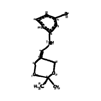 CC1(C)OCC(=CNc2cc(Br)ccn2)CO1